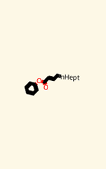 CCCCCCCCC=CC(=O)Oc1ccccc1